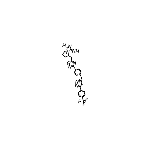 N=C(N)N1CCCC1Cc1nc(-c2ccc(Cn3cc(-c4ccc(C(F)(F)F)cc4)nn3)cc2)no1